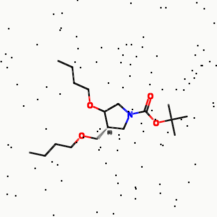 CCCCOC[C@H]1CN(C(=O)OC(C)(C)C)CC1OCCCC